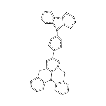 c1ccc2c(c1)Sc1cc(-c3ccc(-n4c5ccccc5c5ccccc54)cc3)cc3c1N2c1ccccc1S3